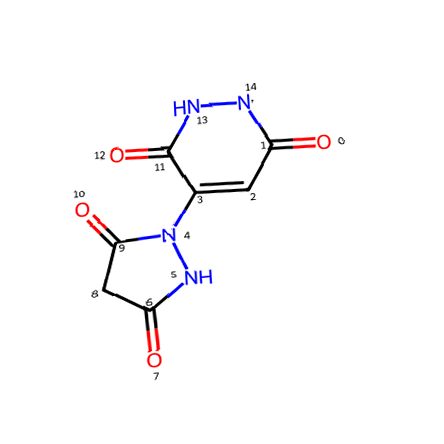 O=C1C=C(N2NC(=O)CC2=O)C(=O)N[N]1